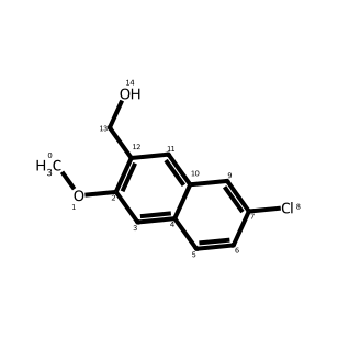 COc1cc2ccc(Cl)cc2cc1CO